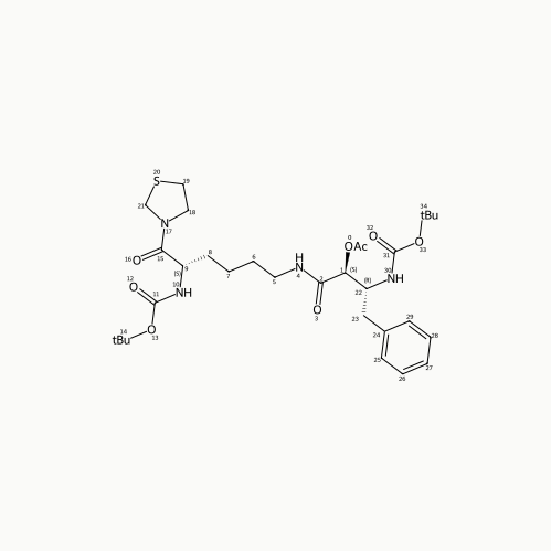 CC(=O)O[C@H](C(=O)NCCCC[C@H](NC(=O)OC(C)(C)C)C(=O)N1CCSC1)[C@@H](Cc1ccccc1)NC(=O)OC(C)(C)C